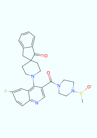 C[S+]([O-])N1CCN(C(=O)c2cnc3ccc(F)cc3c2N2CCC3(CC2)Cc2ccccc2C3=O)CC1